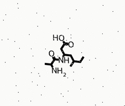 CCC(C)CC(CC(=O)O)NC(=O)C(C)N